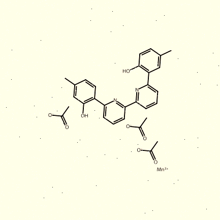 CC(=O)[O-].CC(=O)[O-].CC(=O)[O-].Cc1ccc(-c2cccc(-c3cccc(-c4cc(C)ccc4O)n3)n2)c(O)c1.[Mn+3]